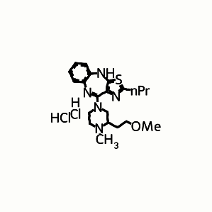 CCCc1nc2c(s1)Nc1ccccc1N=C2N1CCN(C)C(CCOC)C1.Cl.Cl